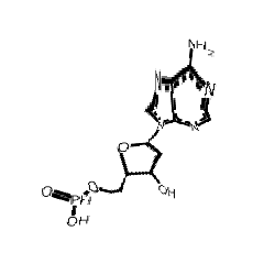 Nc1ncnc2c1ncn2[C@H]1CC(O)[C@@H](CO[PH](=O)O)O1